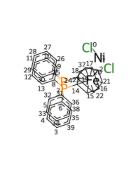 [Cl][Ni][Cl].c1ccc(P(c2ccccc2)[C]23[CH]4[CH]5[CH]6[CH]2[Fe]56432789[CH]3[CH]2[CH]7[C]8(P(c2ccccc2)c2ccccc2)[CH]39)cc1